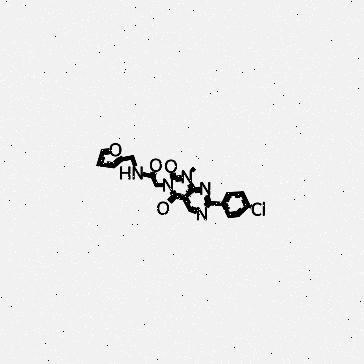 Cn1c(=O)n(CC(=O)NCc2ccco2)c(=O)c2cnc(-c3ccc(Cl)cc3)nc21